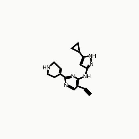 C#Cc1cnc(C2=CCNCC2)nc1Nc1cc(C2CC2)[nH]n1